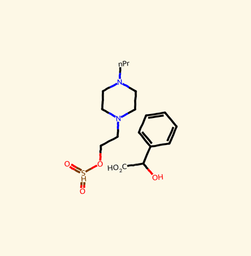 CCCN1CCN(CCO[SH](=O)=O)CC1.O=C(O)C(O)c1ccccc1